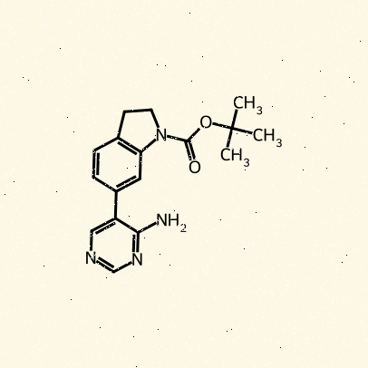 CC(C)(C)OC(=O)N1CCc2ccc(-c3cncnc3N)cc21